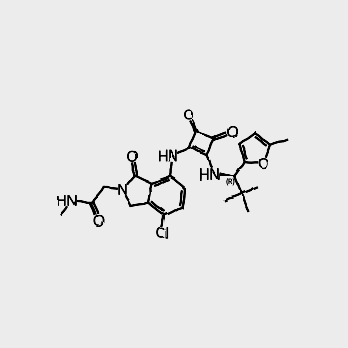 CNC(=O)CN1Cc2c(Cl)ccc(Nc3c(N[C@@H](c4ccc(C)o4)C(C)(C)C)c(=O)c3=O)c2C1=O